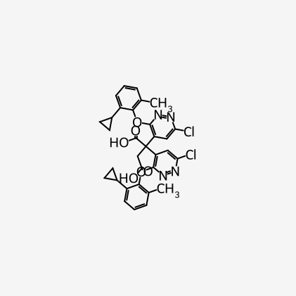 Cc1cccc(C2CC2)c1Oc1nnc(Cl)cc1C(CC(=O)O)(C(=O)O)c1cc(Cl)nnc1Oc1c(C)cccc1C1CC1